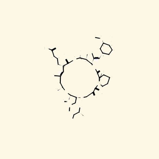 CO[C@@H](C[C@@H](C)CO)[C@@H]1OCC(=O)C(=O)N2CCCC[C@H]2C(=O)O[C@H](/C(C)=C/[C@@H]2CC[C@@H](O)[C@H](OC)C2)[C@H](C)[C@@H](O)CC(=O)[C@H](CCCC(=O)O)/C=C(\C)C[C@H](C)C[C@@H]1OC